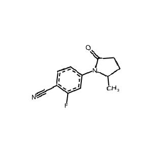 CC1CCC(=O)N1c1ccc(C#N)c(F)c1